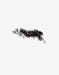 CC(C)C1=C2[C@H]3CCC4[C@@]5(C)CC[C@H](OC(=O)CC(C)(C)C(=O)O)C(C)(C)[C@@H]5CC[C@@]4(C)[C@]3(C)CC[C@@]2([C@@H](O)CN(CC(N)=O)Cc2ccccn2)CC1=O